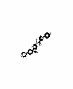 N#C[C@]1(c2ccc(NC(=O)c3ccn(-c4ccc(F)cc4)c3)cn2)CC[C@H](N2CCOCC2)CC1